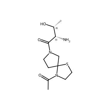 CC(=O)N1CCSC12CCN(C(=O)[C@@H](N)[C@@H](C)O)C2